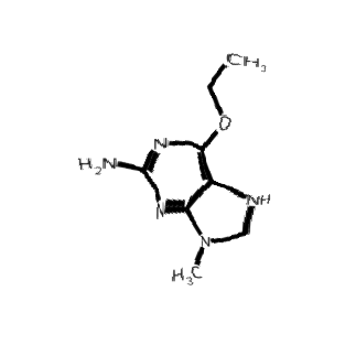 CCOc1nc(N)nc2c1NCN2C